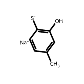 Cc1ccc([S-])c(O)c1.[Na+]